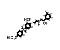 CCOC(=O)c1ccc(S(=O)(=O)c2ccc(OCCNC[C@@H](O)c3cccc(Cl)c3)cc2)cc1.Cl